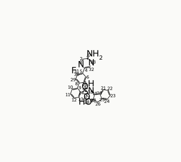 Nc1cnc(-c2ccc(-c3ccccc3S(=O)(=O)NC3c4ccccc4C[C@H]3O)cc2F)cn1